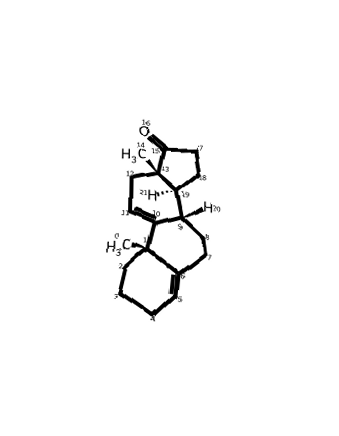 C[C@]12CCCC=C1CC[C@@H]1C2=CC[C@]2(C)C(=O)CC[C@@H]12